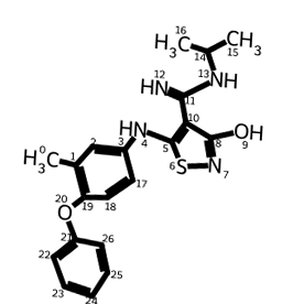 Cc1cc(Nc2snc(O)c2C(=N)NC(C)C)ccc1Oc1ccccc1